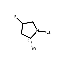 CCN1CC(F)C[C@H]1C(C)C